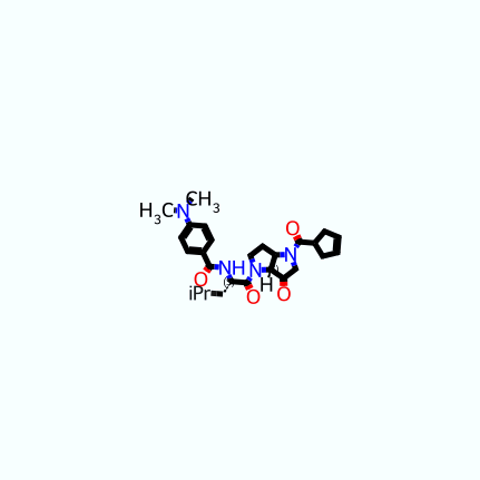 CC(C)C[C@H](NC(=O)c1ccc(N(C)C)cc1)C(=O)N1CCC2[C@H]1C(=O)CN2C(=O)C1CC=CC1